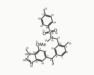 COc1cc(C(C)c2ccc(C)c(CN(C)S(=O)(=O)c3ccc(C)cc3)c2)cc2nnn(C)c12